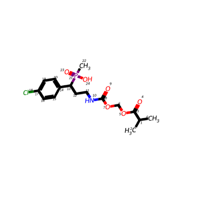 CC(C)C(=O)OCOC(=O)NCCC(c1ccc(Cl)cc1)P(C)(=O)O